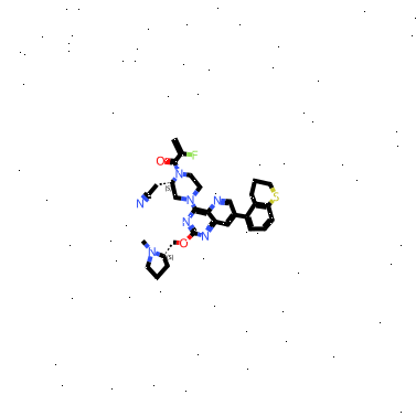 C=C(F)C(=O)N1CCN(c2nc(OC[C@@H]3CCCN3C)nc3cc(-c4cccc5c4CCCS5)cnc23)C[C@@H]1CC#N